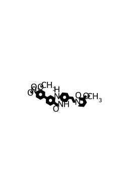 COc1cc(-c2ccc3c(c2)Nc2ccc(CCn4cccc(OC)c4=O)cc2NC3=O)ccc1[N+](=O)[O-]